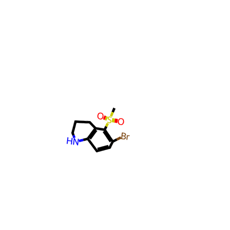 CS(=O)(=O)c1c(Br)ccc2c1CCCN2